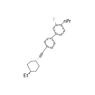 CCCc1ccc(-c2ccc(C#C[C@H]3CC[C@H](CC)CC3)cc2)cc1F